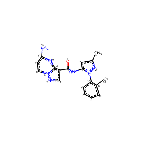 Cc1cc(NC(=O)c2cnn3ccc(N)nc23)n(-c2ccccc2C(C)C)n1